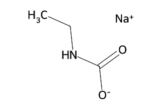 CCNC(=O)[O-].[Na+]